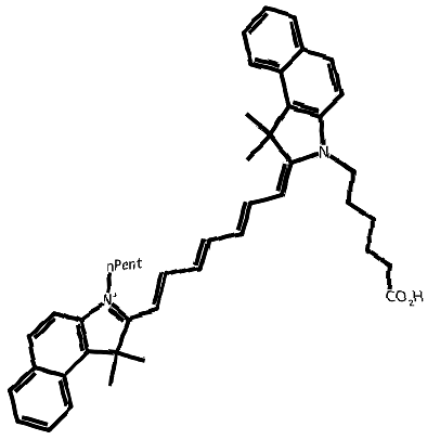 CCCCC[N+]1=C(/C=C/C=C/C=C/C=C2/N(CCCCCC(=O)O)c3ccc4ccccc4c3C2(C)C)C(C)(C)c2c1ccc1ccccc21